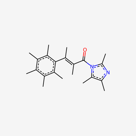 C/C(C(=O)n1c(C)nc(C)c1C)=C(/C)c1c(C)c(C)c(C)c(C)c1C